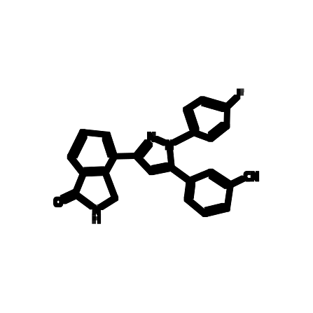 N#Cc1cccc(-c2cc(-c3cccc4c3CNC4=O)nn2-c2ccc(F)cc2)c1